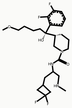 CNCC(CC1CC(F)(F)C1)NC(=O)N1CCC[C@@H]([C@@](O)(CCCCOC)c2cccc(F)c2F)C1